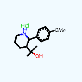 COc1ccc(C2NCCCC2C(C)(C)O)cc1.Cl